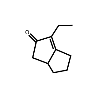 CCC1=C2CCCC2CC1=O